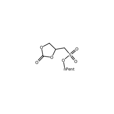 CCCCCOS(=O)(=O)CC1COC(=O)O1